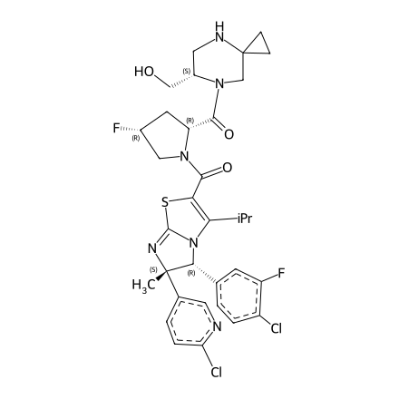 CC(C)C1=C(C(=O)N2C[C@H](F)C[C@@H]2C(=O)N2CC3(CC3)NC[C@H]2CO)SC2=N[C@@](C)(c3ccc(Cl)nc3)[C@@H](c3ccc(Cl)c(F)c3)N21